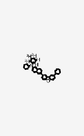 [2H]c1c([2H])c([2H])c(N(c2ccccc2)c2ccc3cc(-c4ccc5oc6ccc(-c7ccccc7)cc6c5c4)ccc3c2)c([2H])c1[2H]